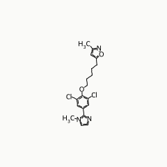 Cc1cc(CCCCCOc2c(Cl)cc(-c3nccn3C)cc2Cl)on1